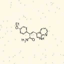 CCOc1ccc(C(=Cc2c[nH]c3ncccc23)C(N)=O)cc1